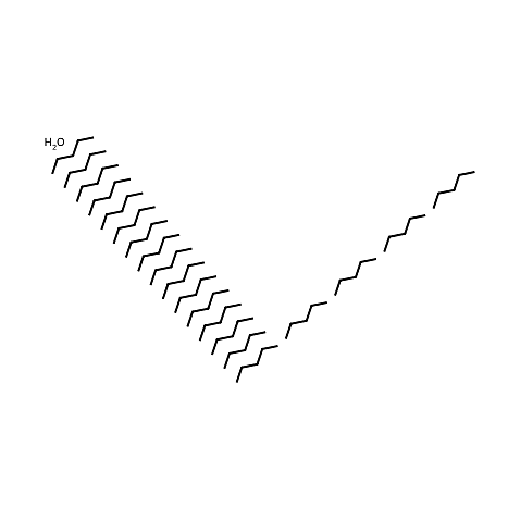 CCCCC.CCCCC.CCCCC.CCCCC.CCCCC.CCCCC.CCCCC.CCCCC.CCCCC.CCCCC.CCCCC.CCCCC.CCCCC.CCCCC.CCCCC.CCCCC.CCCCC.CCCCC.CCCCC.CCCCC.O